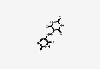 O=C1NC(=O)C(N=Nc2c[nH]c(=O)[nH]c2=O)C(=O)N1